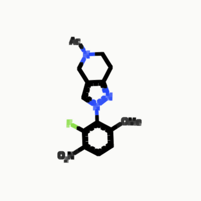 COc1ccc([N+](=O)[O-])c(F)c1-n1cc2c(n1)CCN(C(C)=O)C2